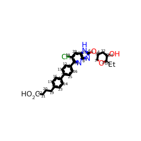 CC[C@H]1OC[C@H](Oc2nc3nc(-c4ccc(-c5ccc(CCCC(=O)O)cc5)cc4)c(Cl)cc3[nH]2)C[C@@H]1O